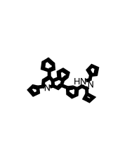 C1=CCC(C2=NC3C=C(c4cccc(C5NC(C6=CCC=C6)=NC5C5C=CC5)c4)c4ccccc4C3C(c3ccccc3)=C2)=C1